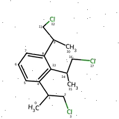 CC(CCl)c1cccc(C(C)CCl)c1C(C)CCl